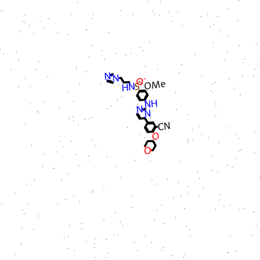 COc1cc(Nc2nccc(-c3ccc(OC4CCOCC4)c(C#N)c3)n2)ccc1[S+]([O-])NCCCn1ccnc1